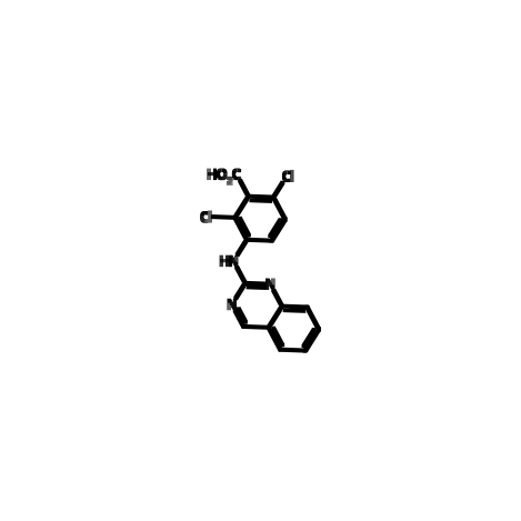 O=C(O)c1c(Cl)ccc(Nc2ncc3ccccc3n2)c1Cl